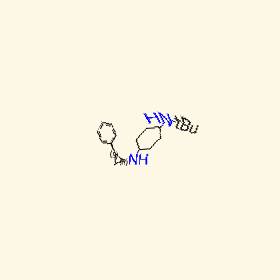 CC(C)(C)NC1CCC(N[C@@H]2C[C@H]2c2ccccc2)CC1